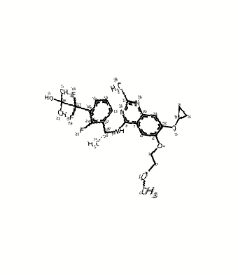 COCCOc1cc2c(N[C@H](C)c3cccc(C(F)(F)C(C)(C)O)c3F)nc(C)nc2cc1OC1CC1